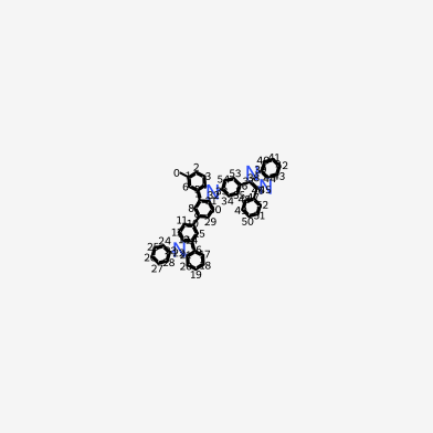 Cc1ccc2c(c1)c1cc(-c3ccc4c(c3)c3ccccc3n4-c3ccccc3)ccc1n2-c1ccc(-c2nc3ccccc3nc2-c2ccccc2)cc1